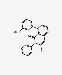 CCc1cc2cccc(-c3cccc(OC)c3)c2c(=O)n1-c1ccccc1